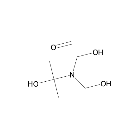 C=O.CC(C)(O)N(CO)CO